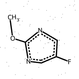 COc1n[c]c(F)cn1